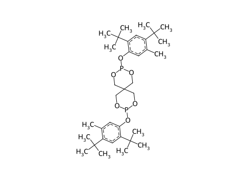 Cc1cc(OP2OCC3(CO2)COP(Oc2cc(C)c(C(C)(C)C)cc2C(C)(C)C)OC3)c(C(C)(C)C)cc1C(C)(C)C